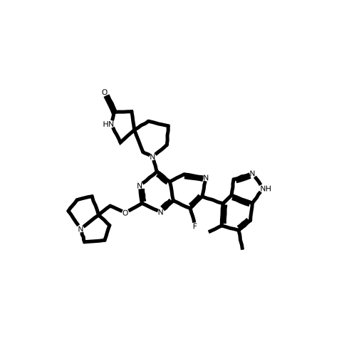 Cc1cc2[nH]ncc2c(-c2ncc3c(N4CCCC5(CNC(=O)C5)C4)nc(OCC45CCCN4CCC5)nc3c2F)c1C